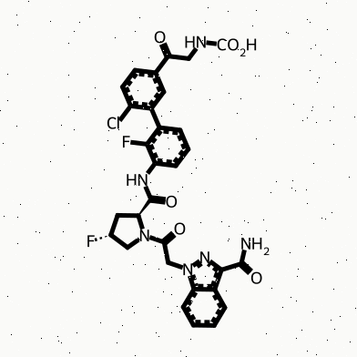 NC(=O)c1nn(CC(=O)N2C[C@H](F)C[C@H]2C(=O)Nc2cccc(-c3cc(C(=O)CNC(=O)O)ccc3Cl)c2F)c2ccccc12